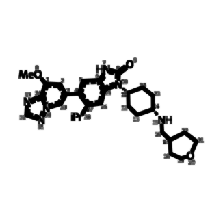 COc1cc(-c2cc3[nH]c(=O)n([C@H]4CC[C@@H](NCC5CCOCC5)CC4)c3cc2C(C)C)cn2ncnc12